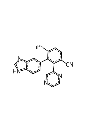 CC(C)c1ccc(C#N)c(-c2cnccn2)c1-c1ccc2[nH]cnc2c1